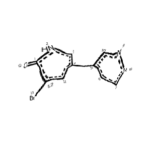 O=c1[nH]cc(-c2ccnnc2)cc1Br